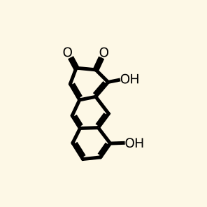 O=C1C=c2cc3cccc(O)c3cc2=C(O)C1=O